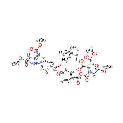 CC(C)(C)OC(=O)C[C@@H](C(=O)OCC[Si](C)(C)C)N(CC(=O)OC(C)(C)C)C(=O)OC(=O)c1ccc(OC(=O)c2ccc(NC(=NC(=O)OC(C)(C)C)NC(=O)OC(C)(C)C)cc2)cc1